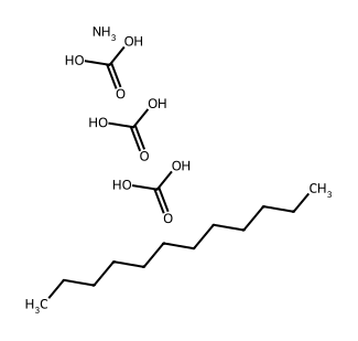 CCCCCCCCCCCC.N.O=C(O)O.O=C(O)O.O=C(O)O